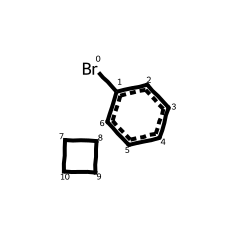 Brc1ccccc1.C1CCC1